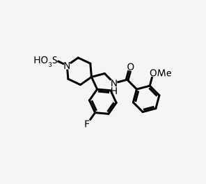 COc1ccccc1C(=O)NCC1(c2cccc(F)c2)CCN(S(=O)(=O)O)CC1